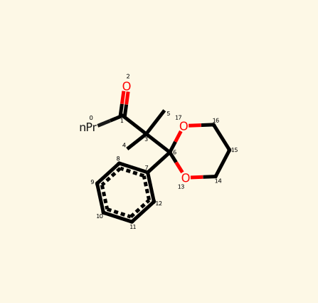 CCCC(=O)C(C)(C)C1(c2ccccc2)OCCCO1